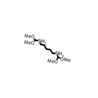 COC(OC)[SiH2]CCCCC[SiH2]C(OC)OC